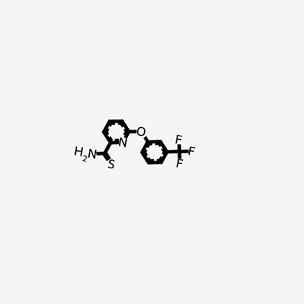 NC(=S)c1cccc(Oc2cccc(C(F)(F)F)c2)n1